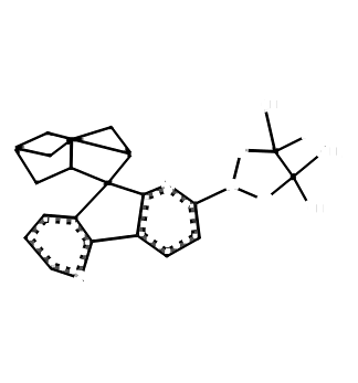 CC1(C)OB(c2ccc3c(n2)C2(c4cccnc4-3)C3CC4CC(C3)C2C4)OC1(C)C